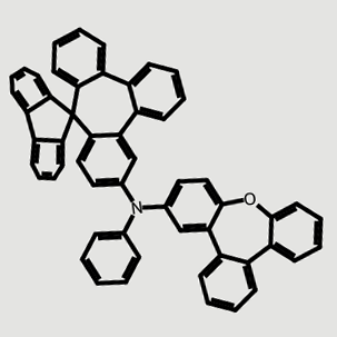 c1ccc(N(c2ccc3c(c2)-c2ccccc2-c2ccccc2O3)c2ccc3c(c2)-c2ccccc2-c2ccccc2C32c3ccccc3-c3ccccc32)cc1